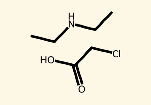 CCNCC.O=C(O)CCl